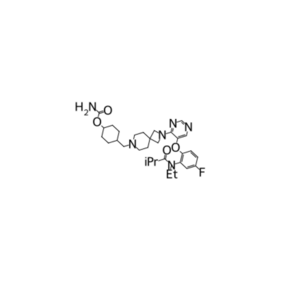 CCN(C(=O)C(C)C)c1cc(F)ccc1Oc1cncnc1N1CC2(CCN(CC3CCC(OC(N)=O)CC3)CC2)C1